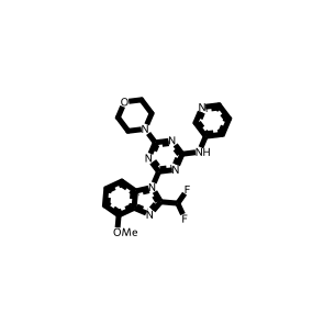 COc1cccc2c1nc(C(F)F)n2-c1nc(Nc2cccnc2)nc(N2CCOCC2)n1